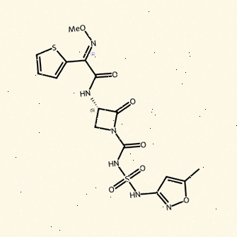 CO/N=C(/C(=O)N[C@H]1CN(C(=O)NS(=O)(=O)Nc2cc(C)on2)C1=O)c1cccs1